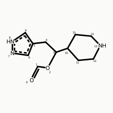 O=COC(Cc1cn[nH]c1)C1CCNCC1